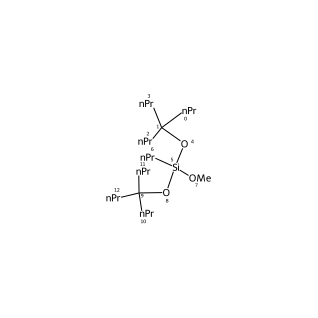 CCCC(CCC)(CCC)O[Si](CCC)(OC)OC(CCC)(CCC)CCC